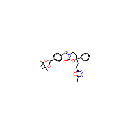 Cc1nnc(CCC2(c3ccccc3)CCN([C@@H](C)c3ccc(B4OC(C)(C)C(C)(C)O4)cc3)C(=O)O2)o1